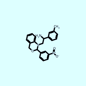 Cc1cccc(C(N)CN2c3ccccc3COC2c2cccc([N+](=O)[O-])c2)c1